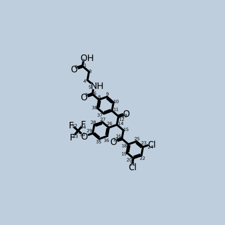 O=C(O)CCNC(=O)c1ccc(C(=O)C(CC(=O)c2cc(Cl)cc(Cl)c2)c2ccc(OC(F)(F)F)cc2)cc1